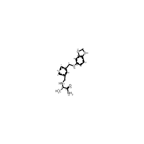 C[C@@H](NCc1cccc(COc2ccc3c(c2)OCO3)c1)C(N)=O